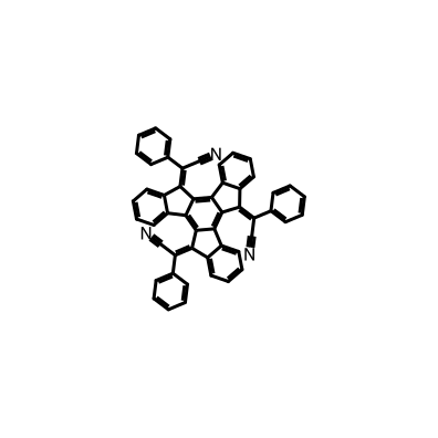 N#C/C(=C1/c2ccccc2-c2c1c1c(c3c2/C(=C(\C#N)c2ccccc2)c2ccccc2-3)/C(=C(\C#N)c2ccccc2)c2ccccc2-1)c1ccccc1